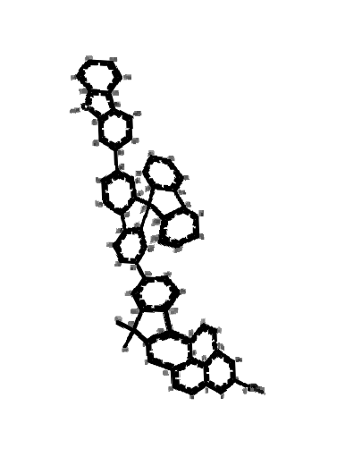 CC(C)(C)c1cc2ccc3cc4c(c5ccc(c1)c2c35)-c1ccc(-c2ccc3c(c2)C2(c5ccccc5-c5ccccc52)c2cc(-c5ccc6c(c5)oc5ccccc56)ccc2-3)cc1C4(C)C